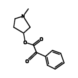 CN1CCC(OC(=O)C(=O)c2ccccc2)C1